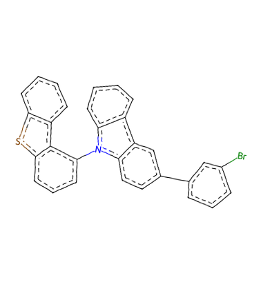 Brc1cccc(-c2ccc3c(c2)c2ccccc2n3-c2cccc3sc4ccccc4c23)c1